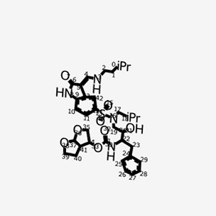 CC(C)CCN/C=C1/C(=O)Nc2ccc(S(=O)(=O)N(CC(C)C)CC(O)C(Cc3ccccc3)NC(=O)OC3COC4OCCC34)cc21